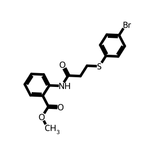 COC(=O)c1ccccc1NC(=O)CCSc1ccc(Br)cc1